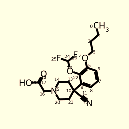 CCCCOc1cccc(C2(C#N)CCN(CC(=O)O)CC2)c1OC(F)F